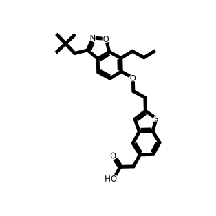 CCCc1c(OCCc2cc3cc(CC(=O)O)ccc3s2)ccc2c(CC(C)(C)C)noc12